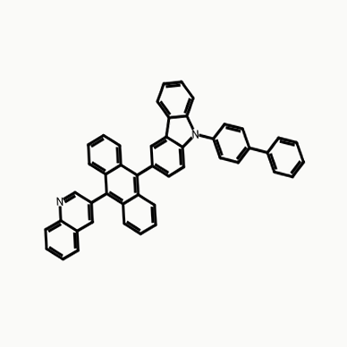 c1ccc(-c2ccc(-n3c4ccccc4c4cc(-c5c6ccccc6c(-c6cnc7ccccc7c6)c6ccccc56)ccc43)cc2)cc1